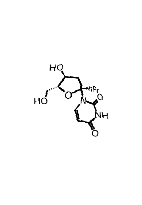 CCC[C@]1(n2ccc(=O)[nH]c2=O)C[C@H](O)[C@@H](CO)O1